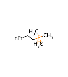 CCCCC[PH](C)(C)C